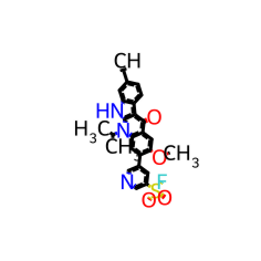 C#Cc1ccc2c(c1)[nH]c1c2c(=O)c2cc(OC)c(-c3cncc(S(=O)(=O)F)c3)cc2n1C(C)C